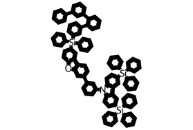 c1ccc(-c2cccc(-c3ccccc3-c3cccc([Si](c4ccccc4)(c4ccccc4)c4ccc5oc6cc(-c7cccc(-n8c9ccc([Si](c%10ccccc%10)(c%10ccccc%10)c%10ccccc%10)cc9c9cc([Si](c%10ccccc%10)(c%10ccccc%10)c%10ccccc%10)ccc98)c7)ccc6c5c4)c3)c2)cc1